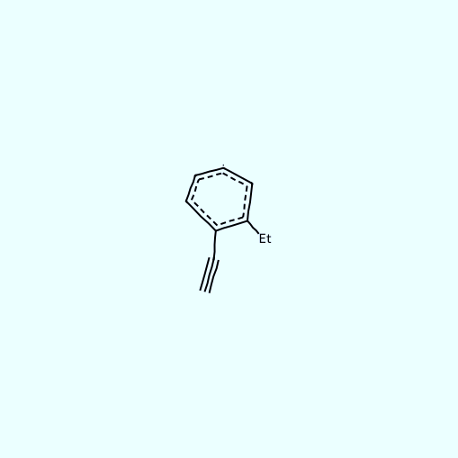 C#Cc1cc[c]cc1CC